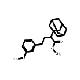 COC(=O)C(CCc1cccc(OC)c1)C12CC3CC(CC(C3)C1)C2